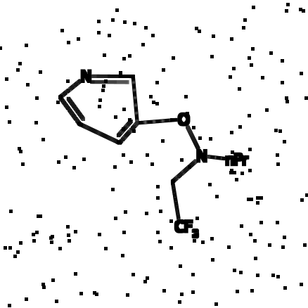 CCCN(CC(F)(F)F)Oc1cccnc1